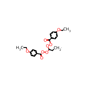 [CH2]C[C](OOC(=O)c1ccc(OCC)cc1)OOC(=O)c1ccc(OCC)cc1